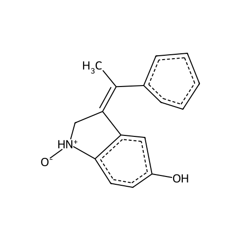 CC(=C1C[NH+]([O-])c2ccc(O)cc21)c1ccccc1